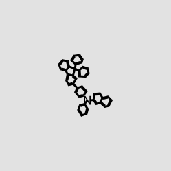 c1ccc(N(c2ccc(-c3ccc4c(c3)C(c3ccccc3)(c3ccccc3)c3ccccc3-4)cc2)c2ccc3ccccc3c2)cc1